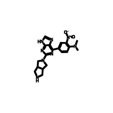 CN(C)c1ccc(-c2nc(N3CC4CNCC4C3)nc3[nH]cnc23)cc1[N+](=O)[O-]